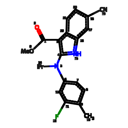 COC(=O)c1c(N(c2ccc(C)c(F)c2)C(C)C)[nH]c2cc(C#N)ccc12